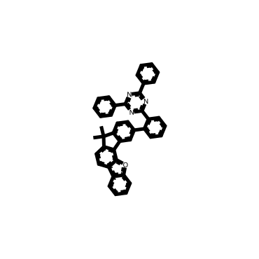 CC1(C)c2ccc(-c3ccccc3-c3nc(-c4ccccc4)nc(-c4ccccc4)n3)cc2-c2c1ccc1c2oc2ccccc21